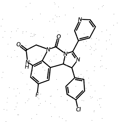 O=C1CN2C(=O)N3C(c4cccnc4)=NC(c4ccc(Cl)cc4)C3c3cc(F)cc(c32)N1